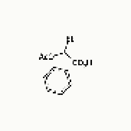 CCC(OC(C)=O)C(=O)O.c1ccccc1